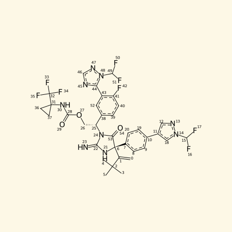 C=C(C(C)(C)C)[C@]1(c2ccc(-c3cnn(C(F)F)c3)cc2)NC(=N)N([C@H](COC(=O)NC2(C(F)(F)F)CC2)c2ccc(F)c(-c3ncnn3C(F)F)c2)C1=O